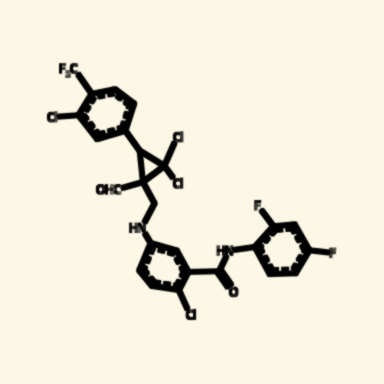 O=CC1(CNc2ccc(Cl)c(C(=O)Nc3ccc(F)cc3F)c2)C(c2ccc(C(F)(F)F)c(Cl)c2)C1(Cl)Cl